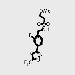 COCCS(=O)(=O)NCc1ccc(-c2noc(C(F)(F)F)n2)cc1F